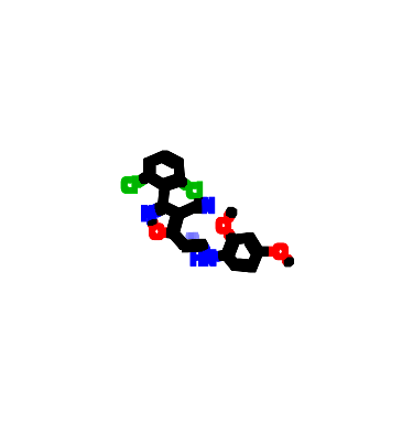 COc1ccc(N/C=C/c2onc(-c3c(Cl)cccc3Cl)c2C#N)c(OC)c1